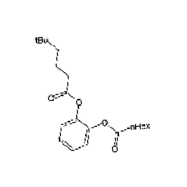 CCCCCCC(=O)Oc1ccccc1OC(=O)CCCC(C)(C)C